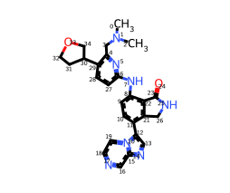 CN(C)Cc1nc(Nc2ccc(-c3cnc4cnccn34)c3c2C(=O)NC3)ccc1C1CCOC1